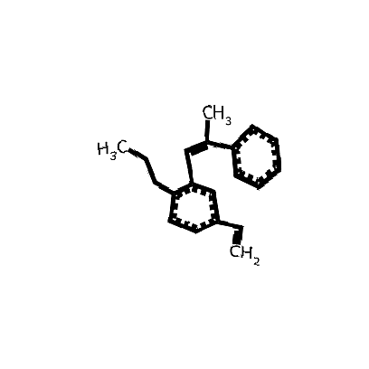 C=Cc1ccc(CCC)c(C=C(C)c2ccccc2)c1